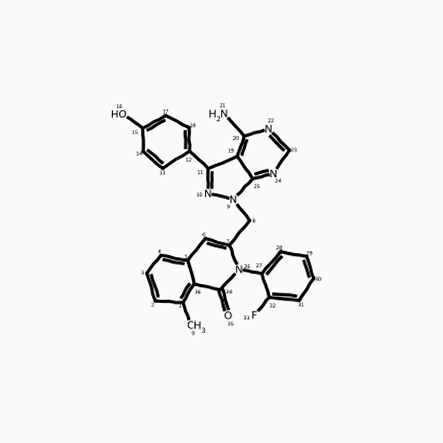 Cc1cccc2cc(Cn3nc(-c4ccc(O)cc4)c4c(N)ncnc43)n(-c3ccccc3F)c(=O)c12